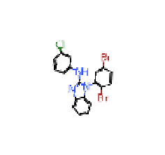 Clc1cccc(Nc2nc3ccccc3n2-c2cc(Br)ccc2Br)c1